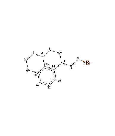 BrCCC1CCC2CCCc3cccc1c32